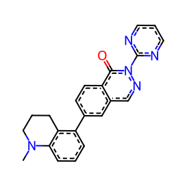 CN1CCCc2c(-c3ccc4c(=O)n(-c5ncccn5)ncc4c3)cccc21